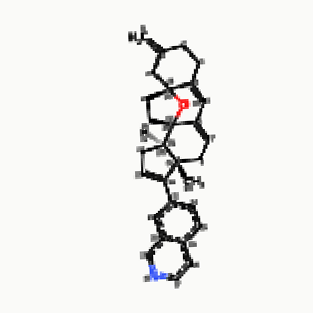 C=C1CCC2=CC3=CC[C@]4(C)C(c5ccc6ccncc6c5)=CC[C@H]4[C@@]34CC[C@]2(C1)O4